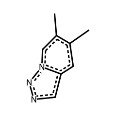 Cc1cc2cnnn2cc1C